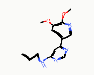 CCCNc1cc(-c2cnc(OC)c(OC)c2)ncn1